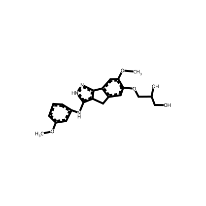 COc1cccc(Nc2[nH]nc3c2Cc2cc(OCC(O)CO)c(OC)cc2-3)c1